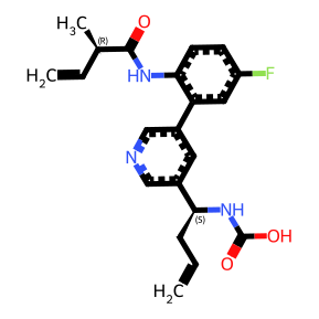 C=CC[C@H](NC(=O)O)c1cncc(-c2cc(F)ccc2NC(=O)[C@H](C)C=C)c1